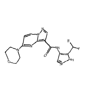 O=C(Nc1cn[nH]c1C(F)F)c1cnn2ccc(N3CCOCC3)nc12